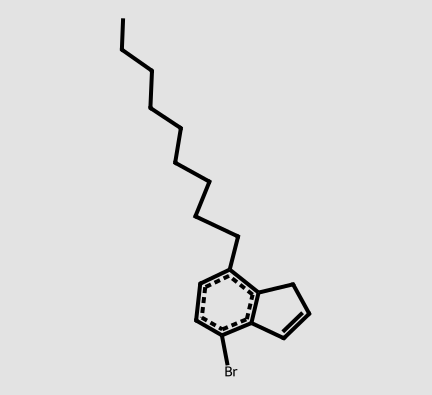 CCCCCCCCCc1ccc(Br)c2c1CC=C2